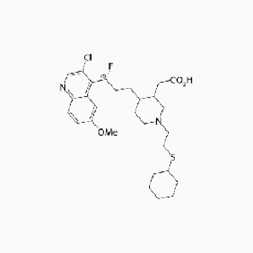 COc1ccc2ncc(Cl)c([C@H](F)CCC3CCN(CCSC4CCCCC4)CC3CC(=O)O)c2c1